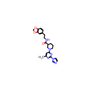 Cc1cc(N2CCCC(C(=O)NCCc3ccc4c(c3)OCO4)C2)nc(-n2ccnc2)n1